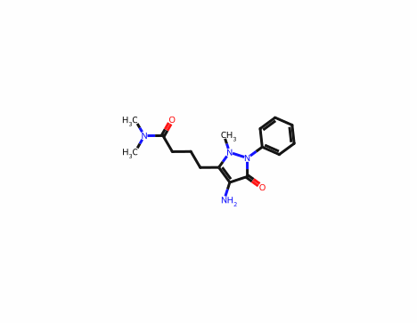 CN(C)C(=O)CCCc1c(N)c(=O)n(-c2ccccc2)n1C